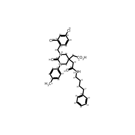 Cc1ccc(N2CC(CC(=O)O)(CC(=O)NCCCCc3ccccc3)CN(Cc3ccc(Cl)cc3Cl)C2=O)cc1